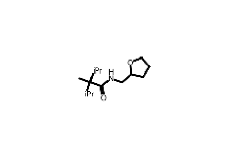 CC(C)C(C)(C(=O)NCC1CCCO1)C(C)C